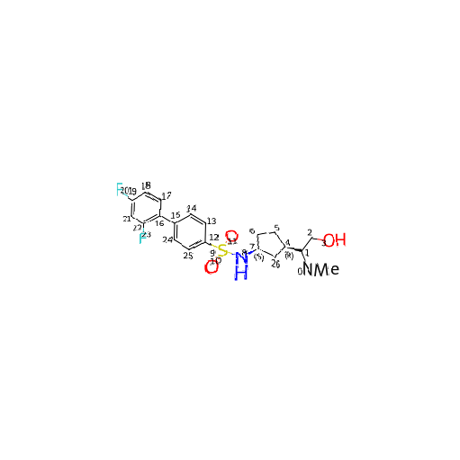 CNC(CO)[C@@H]1CC[C@H](NS(=O)(=O)c2ccc(-c3ccc(F)cc3F)cc2)C1